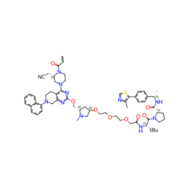 C=CC(=O)N1CCN(c2nc(OC[C@@H]3C[C@@H](OCCOCCOCC(=O)N[C@H](C(=O)N4CCC[C@H]4C(=O)N[C@@H](C)c4ccc(-c5scnc5C)cc4)C(C)(C)C)CN3C)nc3c2CCN(c2cccc4ccccc24)C3)C[C@@H]1CC#N